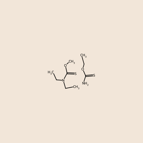 CCN(CC)C(=S)OC.CCOC(N)=S